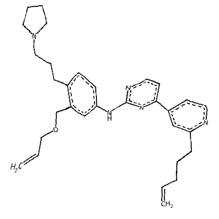 C=CCCCc1cc(-c2ccnc(Nc3ccc(CCCN4CCCC4)c(COCC=C)c3)n2)ccn1